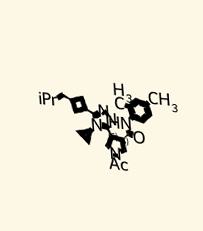 CC(=O)N1C[C@@H](C(=O)Nc2ccc(C)cc2C)[C@H](c2nnc([C@H]3C[C@@H](CC(C)C)C3)n2C2CC2)C1